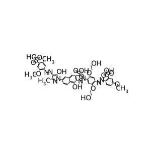 COc1ccc(/N=N/c2cc(OCCO)c(/N=N/c3c(S(=O)(=O)O)cc4cc(-n5nc(C)c(/N=N/c6cc(C)c(S(=O)(=O)O)cc6OC)c5O)ccc4c3O)cc2OCCO)c(S(=O)(=O)O)c1